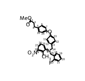 COC(=O)CCc1ccc(Oc2ccc(CN(Cc3ccccc3F)c3cccc([N+](=O)[O-])c3C)cc2)cc1